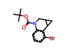 CC(C)(C)OC(=O)N1CC2CC2c2c(Br)cccc21